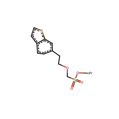 CCCOS(=O)(=O)COCCc1ccc2ccsc2c1